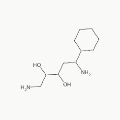 NCC(O)C(O)CC(N)C1CCCCC1